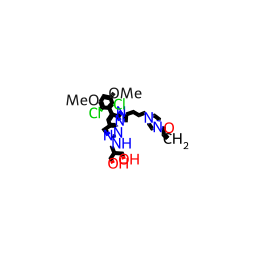 C=CC(=O)N1CCN(CCCc2cn3c(n2)c(-c2c(Cl)c(OC)cc(OC)c2Cl)cc2cnc(NCC(CO)CO)nc23)CC1